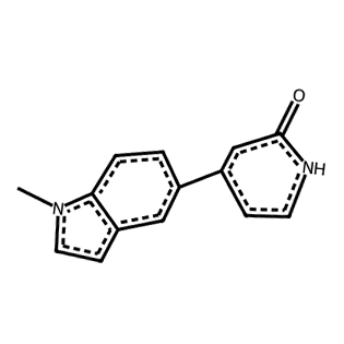 Cn1ccc2cc(-c3cc[nH]c(=O)c3)ccc21